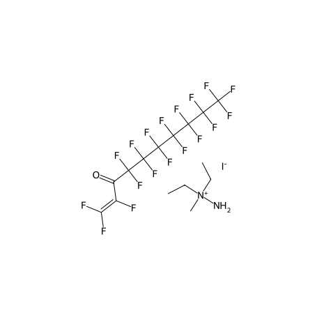 CC[N+](C)(N)CC.O=C(C(F)=C(F)F)C(F)(F)C(F)(F)C(F)(F)C(F)(F)C(F)(F)C(F)(F)C(F)(F)F.[I-]